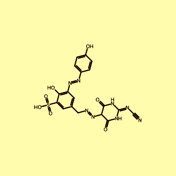 N#CN=C1NC(=O)C(N=NCc2cc(N=Nc3ccc(O)cc3)c(O)c(S(=O)(=O)O)c2)C(=O)N1